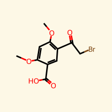 COc1cc(OC)c(C(=O)CBr)cc1C(=O)O